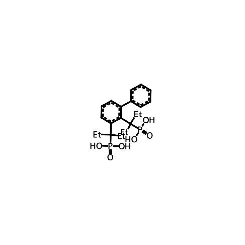 CCC(CC)(c1cccc(-c2ccccc2)c1C(CC)(CC)P(=O)(O)O)P(=O)(O)O